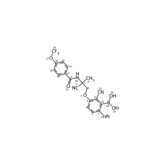 CCCc1ccc(OCC(C)(C#N)NC(=O)c2ccc(OC(F)(F)F)cc2)c(C#N)c1B(O)O